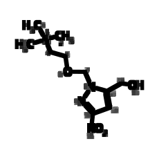 C[Si](C)(C)CCOCn1nc([N+](=O)[O-])cc1CO